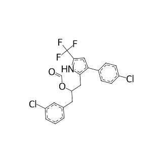 O=COC(Cc1cccc(Cl)c1)Cc1[nH]c(C(F)(F)F)cc1-c1ccc(Cl)cc1